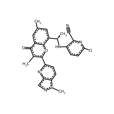 Cc1cc([C@@H](C)Nc2ccc(Cl)nc2C#N)c2oc(-c3ccc4c(cnn4C)n3)c(C)c(=O)c2c1